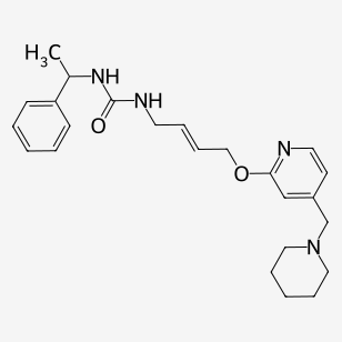 CC(NC(=O)NCC=CCOc1cc(CN2CCCCC2)ccn1)c1ccccc1